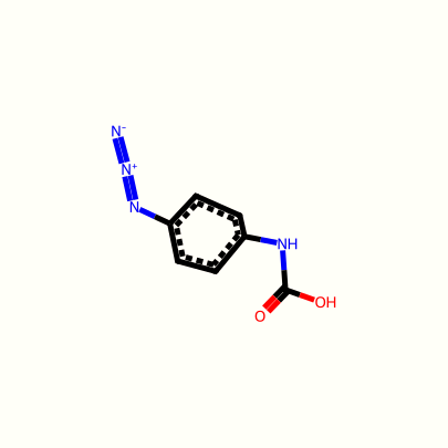 [N-]=[N+]=Nc1ccc(NC(=O)O)cc1